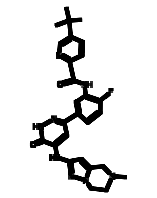 CN1CCn2nc(Nc3cc(-c4ccc(F)c(NC(=O)c5ccc(C(C)(C)C)cn5)c4)n[nH]c3=O)cc2C1